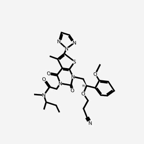 CCC(C)N(C)C(=O)Cn1c(=O)c2c(C)c(-n3nccn3)sc2n(C[C@H](OCCC#N)c2ccccc2OC)c1=O